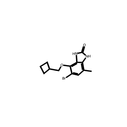 Cc1cc(Br)c(OCC2CCC2)c2[nH]c(=O)[nH]c12